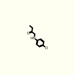 CCC(=O)CNc1ccc(Cl)cc1